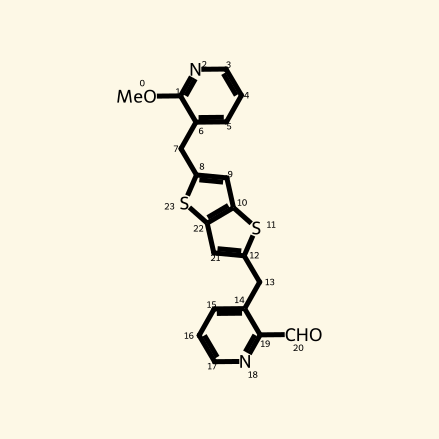 COc1ncccc1Cc1cc2sc(Cc3cccnc3C=O)cc2s1